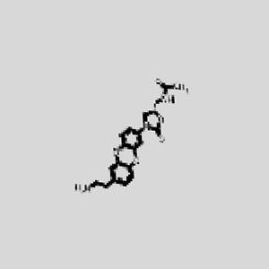 CC(=O)NC[C@H]1CN(c2ccc3c(c2)Oc2ccc(CCN)cc2O3)C(=O)O1